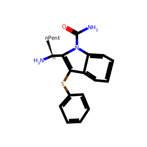 CCCCC[C@H](N)c1c(Sc2ccccc2)c2ccccc2n1C(N)=O